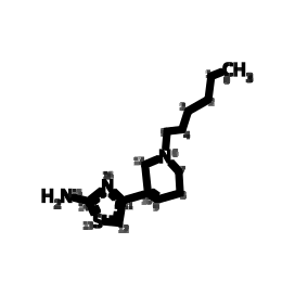 CCCCCCN1CCC=C(c2csc(N)n2)C1